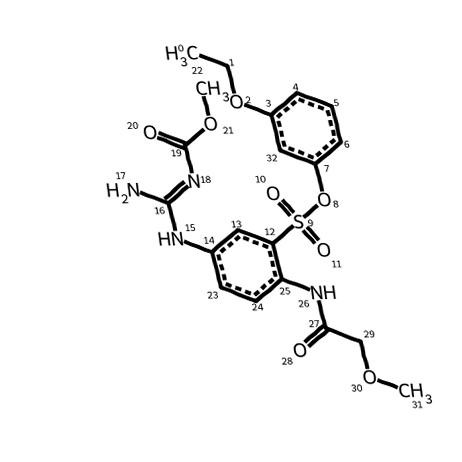 CCOc1cccc(OS(=O)(=O)c2cc(NC(N)=NC(=O)OC)ccc2NC(=O)COC)c1